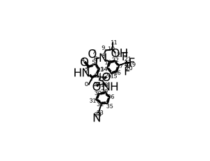 Cc1[nH]c(=O)c(C(=O)N(CC(C)O)c2cccc(C(F)(F)F)c2)cc1S(=O)(=O)Nc1ccc(C#N)cc1